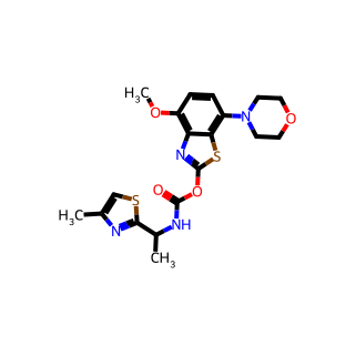 COc1ccc(N2CCOCC2)c2sc(OC(=O)NC(C)c3nc(C)cs3)nc12